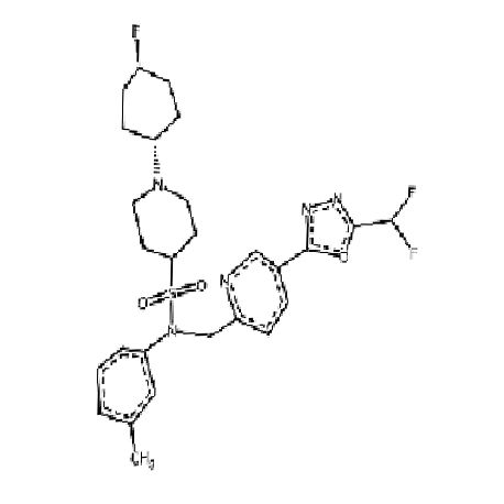 Cc1cccc(N(Cc2ccc(-c3nnc(C(F)F)o3)cn2)S(=O)(=O)C2CCN([C@H]3CC[C@H](F)CC3)CC2)c1